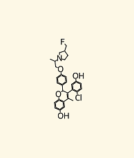 CC1=C(c2cc(O)ccc2Cl)C(c2ccc(OCC(C)N3CCC(CF)C3)cc2)Oc2ccc(O)cc21